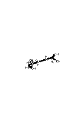 CC(=O)NC1C(OCCCC(=O)NCCCCCCNOCCCC(C)(CCCO)CCCOO)OC(CO)C(O)C1O